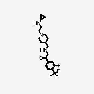 O=C(CNCC1CCN(CCNC2CC2)CC1)c1ccc(C(F)(F)F)c(F)c1